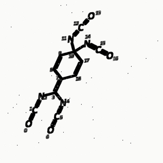 O=C=NC(N=C=O)=C1C=CC(N=C=O)(N=C=O)C=C1